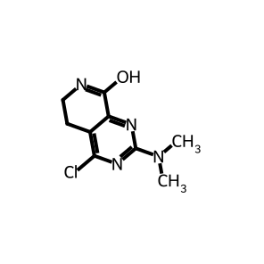 CN(C)c1nc(Cl)c2c(n1)C(O)=NCC2